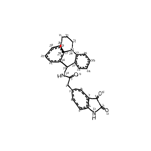 O=C(Cc1ccc2c(c1)C(=O)C(=O)N2)NC(c1ccccc1)c1ccccc1N1CCCCC1